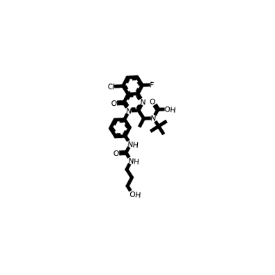 CC(c1nc2c(F)ccc(Cl)c2c(=O)n1-c1cccc(NC(=O)NCCCO)c1)N(C(=O)O)C(C)(C)C